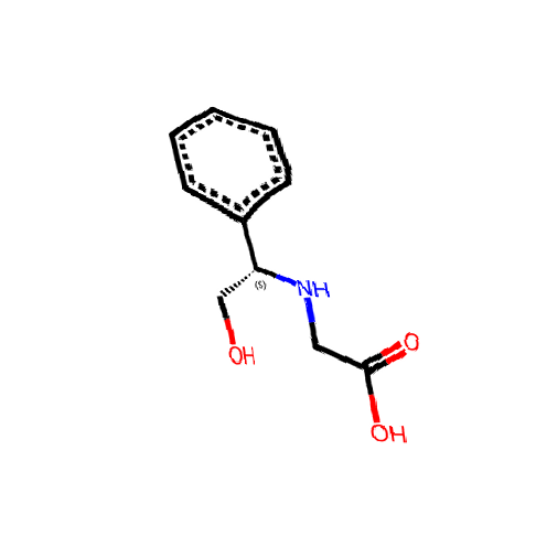 O=C(O)CN[C@H](CO)c1ccccc1